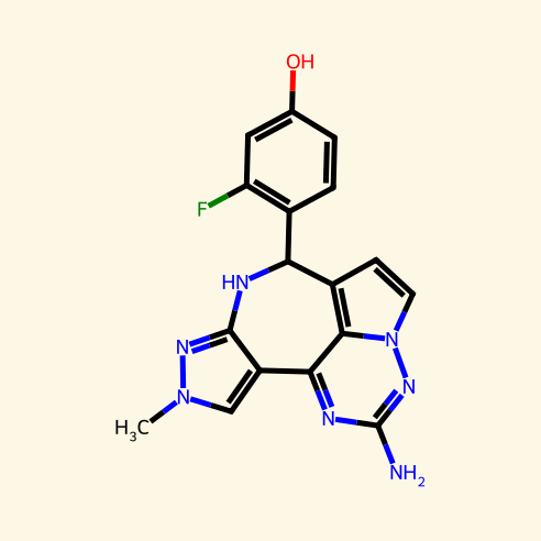 Cn1cc2c(n1)NC(c1ccc(O)cc1F)c1ccn3nc(N)nc-2c13